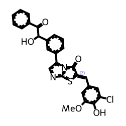 COc1cc(/C=c2\sc3ncc(-c4cccc(C(O)C(=O)c5ccccc5)c4)n3c2=O)cc(Cl)c1O